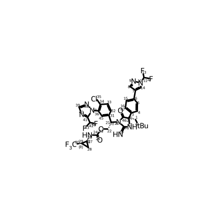 CC(C)(C)C[C@]1(c2ccc(-c3cnn(C(F)F)c3)cc2)NC(=N)N([C@H](COC(=O)N[C@@H]2C[C@H]2C(F)(F)F)c2ccc(Cl)c(-n3ncnc3C(F)F)c2)C1=O